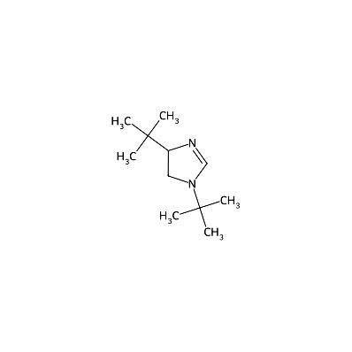 CC(C)(C)C1CN(C(C)(C)C)C=N1